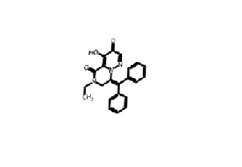 CCN1CC(=C(c2ccccc2)c2ccccc2)n2ncc(=O)c(O)c2C1=O